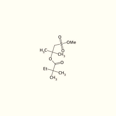 CCC(C)(C)C(=O)OC(C)(C)CS(=O)(=O)OC